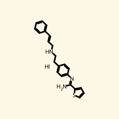 I.NC(=Nc1ccc(CCNCC=Cc2ccccc2)cc1)c1cccs1